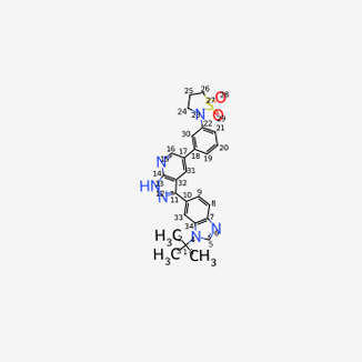 CC(C)(C)n1cnc2ccc(-c3n[nH]c4ncc(-c5cccc(N6CCCS6(=O)=O)c5)cc34)cc21